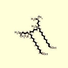 CCCCCCCC/C=C/CCCCCCCC[N+](C)(CCCC[N+](C)(CCCCCCCC/C=C/CCCCCCCC)CCCN(C)C)CCCN(C)C